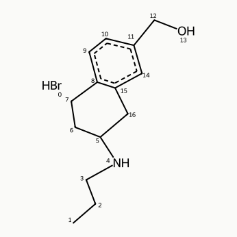 Br.CCCNC1CCc2ccc(CO)cc2C1